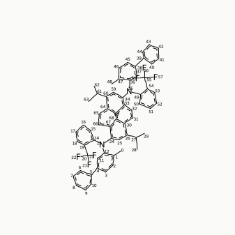 Cc1ccc(-c2ccccc2)cc1N(c1ccccc1C(F)(F)F)c1cc(C(C)C)c2ccc3c(N(c4cc(-c5ccccc5)ccc4C)c4ccccc4C(F)(F)F)cc(C(C)C)c4ccc1c2c43